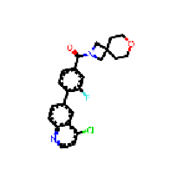 O=C(c1ccc(-c2ccc3nccc(Cl)c3c2)c(F)c1)N1CC2(CCOCC2)C1